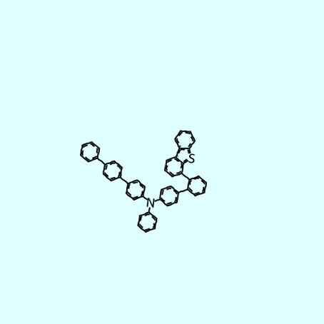 c1ccc(-c2ccc(-c3ccc(N(c4ccccc4)c4ccc(-c5ccccc5-c5cccc6c5sc5ccccc56)cc4)cc3)cc2)cc1